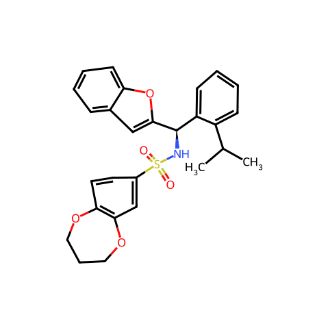 CC(C)c1ccccc1[C@@H](NS(=O)(=O)c1ccc2c(c1)OCCCO2)c1cc2ccccc2o1